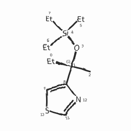 CC[C@](C)(O[Si](CC)(CC)CC)c1cscn1